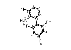 Nc1c(I)cccc1-c1c(F)cc(F)cc1F